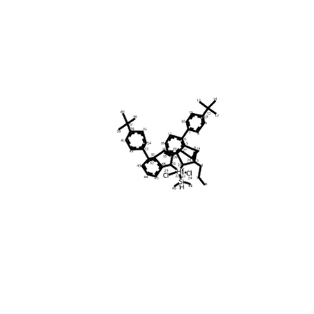 CCCC1=Cc2c(-c3ccc(C(C)(C)C)cc3)cccc2[CH]1[Hf]([Cl])([Cl])([CH]1C(CCC)=Cc2c(-c3ccc(C(C)(C)C)cc3)cccc21)[SiH](C)C